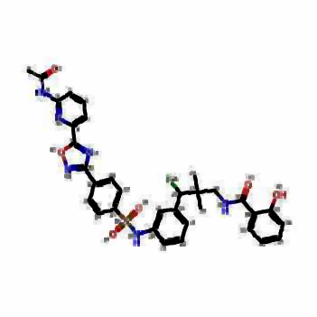 CC(=O)Nc1cccc(-c2nc(-c3ccc(S(=O)(=O)Nc4cccc(C(F)C(C)(C)CNC(=O)c5ccccc5O)c4)cc3)no2)n1